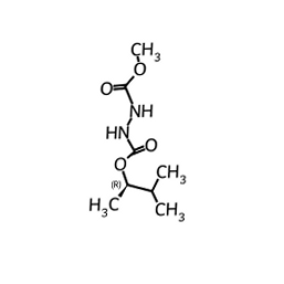 COC(=O)NNC(=O)O[C@H](C)C(C)C